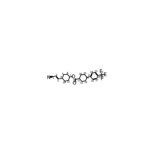 N#C/C=C/C1CCC(OC(=O)C2CCC(c3ccc(C(F)(F)F)cc3)CC2)CC1